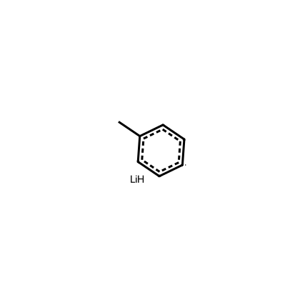 Cc1cc[c]cc1.[LiH]